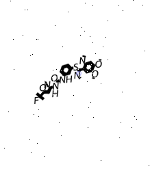 C=Nc1cc(OC)c(OC)cc1/C(=N\C)Sc1cccc(NC(=O)Nc2cc(C(C)(C)F)on2)c1